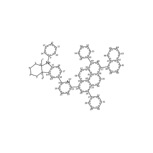 CC12CCCCC1(C)N(c1ccccc1)c1ccc(-c3cccc(-c4cc(-c5ccccc5)c5ccc6c(-c7cccc8ccccc78)cc(-c7ccccc7)c7ccc4c5c76)n3)cc12